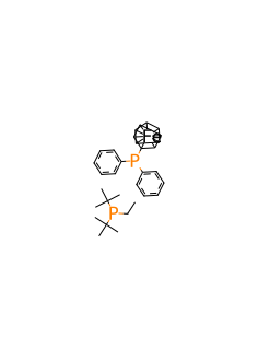 CCP(C(C)(C)C)C(C)(C)C.c1ccc(P(c2ccccc2)[C]23[CH]4[CH]5[CH]6[CH]2[Fe]56432789[CH]3[CH]2[CH]7[CH]8[CH]39)cc1